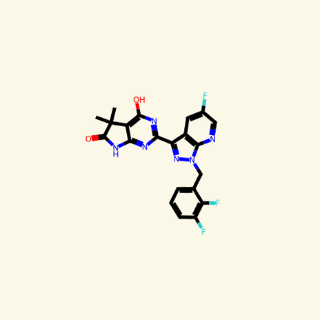 CC1(C)C(=O)Nc2nc(-c3nn(Cc4cccc(F)c4F)c4ncc(F)cc34)nc(O)c21